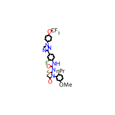 CCCc1ccc(OC)cc1N1C(=O)CS/C1=N\C(=O)Nc1ccc(-c2ncn(-c3ccc(OC(F)(F)F)cc3)n2)cc1F